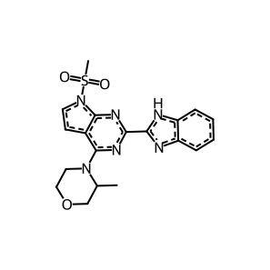 CC1COCCN1c1nc(-c2nc3ccccc3[nH]2)nc2c1ccn2S(C)(=O)=O